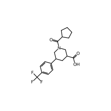 O=C(O)C1CC(c2ccc(C(F)(F)F)cc2)CN(C(=O)C2CCCC2)C1